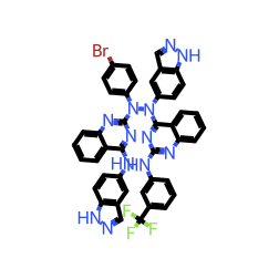 FC(F)(F)c1cccc(Nc2nc(N(c3ccc4[nH]ncc4c3)N(c3ccc(Br)cc3)c3nc(Nc4ccc5[nH]ncc5c4)c4ccccc4n3)c3ccccc3n2)c1